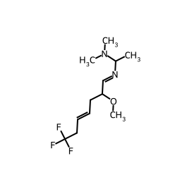 COC(/C=N/C(C)N(C)C)C/C=C/CC(F)(F)F